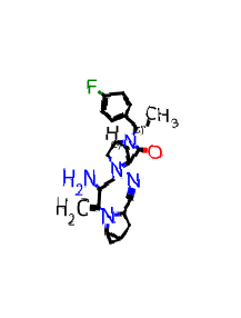 C=C(C(N)CN1C[C@@H]2CC1C(=O)N2[C@@H](CC)c1ccc(F)cc1)N1C(C#N)CC2CC21